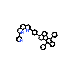 c1ccc(-c2c3c(c(-c4ccccc4)c4ccccc24)-c2ccc(-c4ccc(-c5ccc6ccc7ccc(-c8cccnc8)nc7c6n5)cc4)c4cccc-3c24)cc1